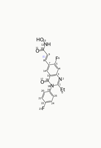 CCc1nc2cc(F)c(/C=C/C(=O)NO)cc2c(=O)n1-c1ccc(F)cc1